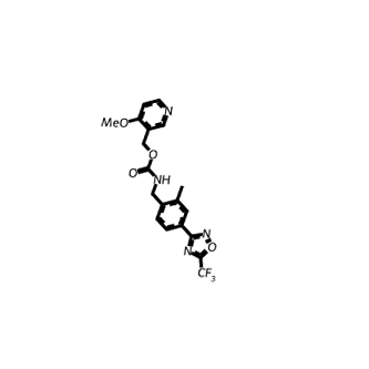 COc1ccncc1COC(=O)NCc1ccc(-c2noc(C(F)(F)F)n2)cc1C